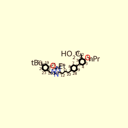 CCCOc1ccc(-c2ccc(CCCc3nn(Cc4ccc(C(C)(C)C)cc4)c(=O)n3CC)cc2)cc1CC(=O)O